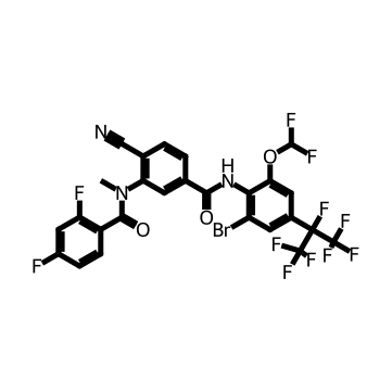 CN(C(=O)c1ccc(F)cc1F)c1cc(C(=O)Nc2c(Br)cc(C(F)(C(F)(F)F)C(F)(F)F)cc2OC(F)F)ccc1C#N